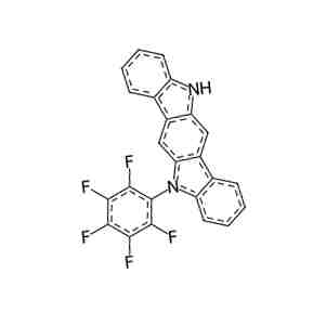 Fc1c(F)c(F)c(-n2c3ccccc3c3cc4[nH]c5ccccc5c4cc32)c(F)c1F